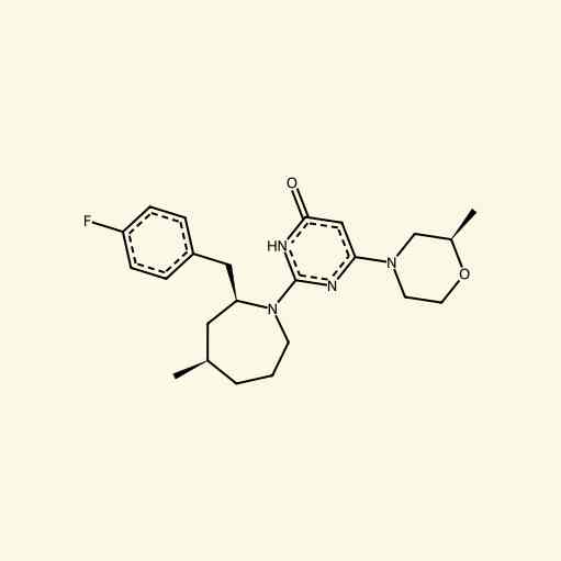 C[C@@H]1CCCN(c2nc(N3CCO[C@H](C)C3)cc(=O)[nH]2)[C@H](Cc2ccc(F)cc2)C1